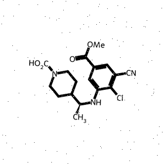 COC(=O)c1cc(C#N)c(Cl)c(N[C@@H](C)C2CCN(C(=O)O)CC2)c1